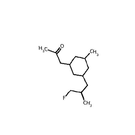 CC(=O)CC1CC(C)CC(CC(C)CF)C1